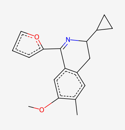 COc1cc2c(cc1C)CC(C1CC1)N=C2c1ccco1